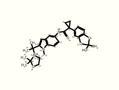 BC1(O)Oc2ccc(C3(C(=O)Nc4ccc5c(c4)cc(C(C)(C)C)n5C[C@@H]4COC(C)(C)O4)CC3)cc2O1